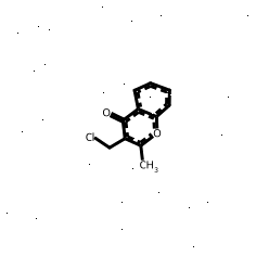 Cc1oc2ccccc2c(=O)c1CCl